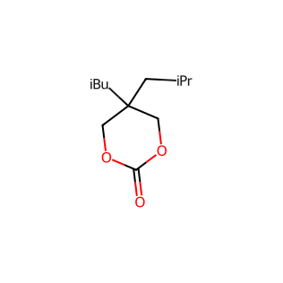 CCC(C)C1(CC(C)C)COC(=O)OC1